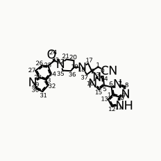 N#CCC1(n2cc(-c3ncnc4[nH]ccc34)cn2)CN(C2CCN(C(=O)c3ccc4ncccc4c3)CC2)C1